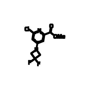 COC(=O)c1cc(N2CC(F)(F)C2)cc(Cl)n1